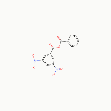 O=C(OC(=O)c1cc([N+](=O)[O-])cc([N+](=O)[O-])c1)c1ccccc1